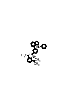 CC(C)c1cccc(C(C)C)c1NCc1cccc(-c2cccc3c2C(Nc2ccccc2)CC3)c1